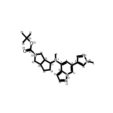 CN(c1cc(-c2cnn(C)c2)cn2nccc12)C1CCC2CN(C(=O)OC(C)(C)C)CC21